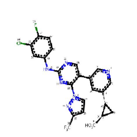 O=C(O)[C@@H]1C[C@H]1c1cncc(-c2cnc(Nc3ccc(F)c(Cl)c3)nc2-n2ccc(C(F)(F)F)n2)c1